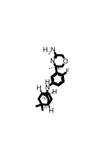 CC1(C)C[C@@H]2CC[C@H]1C[C@@H]2Nc1ccc(F)c([C@]2(C)COCC(N)=N2)c1